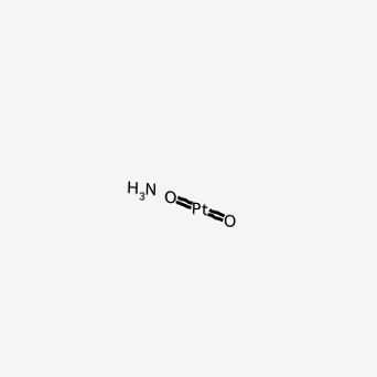 N.[O]=[Pt]=[O]